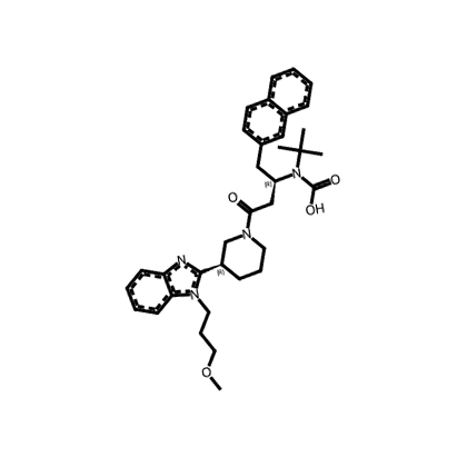 COCCCn1c([C@@H]2CCCN(C(=O)C[C@@H](Cc3ccc4ccccc4c3)N(C(=O)O)C(C)(C)C)C2)nc2ccccc21